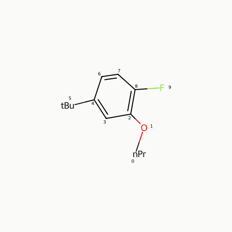 CCCOc1cc(C(C)(C)C)ccc1F